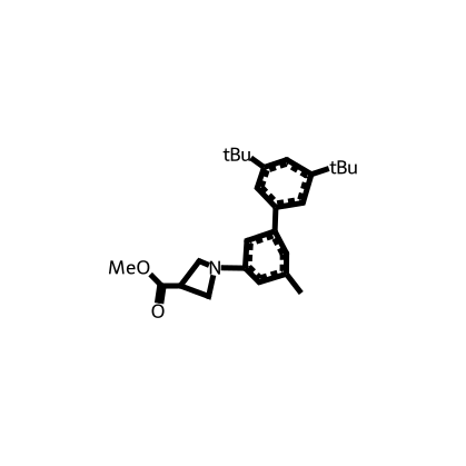 COC(=O)C1CN(c2cc(C)cc(-c3cc(C(C)(C)C)cc(C(C)(C)C)c3)c2)C1